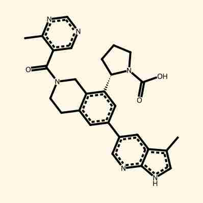 Cc1ncncc1C(=O)N1CCc2cc(-c3cnc4[nH]cc(C)c4c3)cc([C@@H]3CCCN3C(=O)O)c2C1